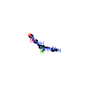 CC(C)(C#N)c1ccc(NCC#Cc2cc3cc(CNC4CCN(C(=O)CN5CCOCC5)CC4)ccc3n2CC(F)(F)F)cn1